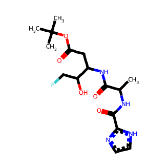 CC(NC(=O)c1ncc[nH]1)C(=O)NC(CC(=O)OC(C)(C)C)C(O)CF